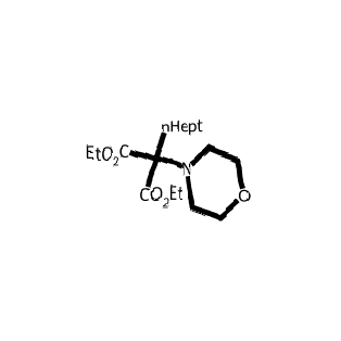 CCCCCCCC(C(=O)OCC)(C(=O)OCC)N1CCOCC1